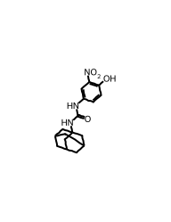 O=C(Nc1ccc(O)c([N+](=O)[O-])c1)NC12CC3CC(CC(C3)C1)C2